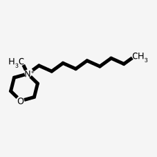 CCCCCCCCC[N+]1(C)CCOCC1